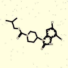 CC(C)COC(=O)N1CCC(n2c(=O)[nH]c3c(F)cc(Cl)cc32)CC1